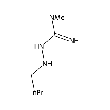 CCCCNNC(=N)NC